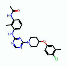 CC(=O)Nc1cccc(Nc2ncnc(N3CCC(Oc4ccc(Cl)c(C)c4)CC3)n2)c1C